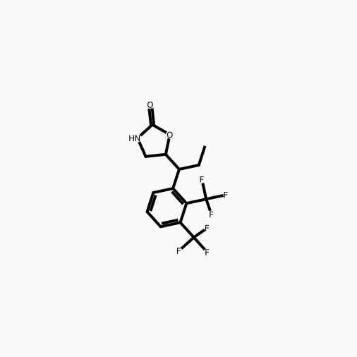 CCC(c1cccc(C(F)(F)F)c1C(F)(F)F)C1CNC(=O)O1